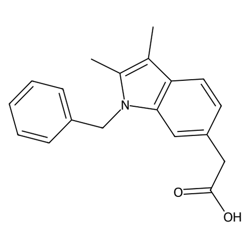 Cc1c(C)n(Cc2ccccc2)c2cc(CC(=O)O)ccc12